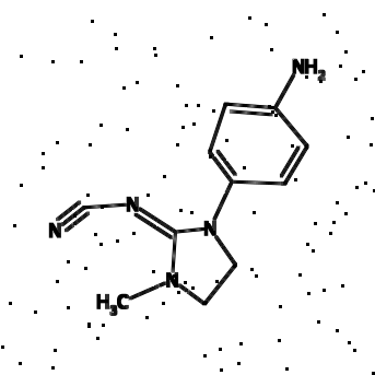 CN1CCN(c2ccc(N)cc2)C1=NC#N